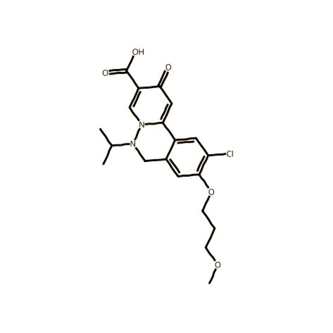 COCCCOc1cc2c(cc1Cl)-c1cc(=O)c(C(=O)O)cn1N(C(C)C)C2